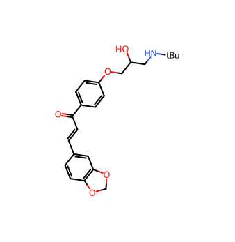 CC(C)(C)NCC(O)COc1ccc(C(=O)C=Cc2ccc3c(c2)OCO3)cc1